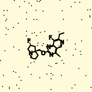 CCc1ncc2c(C)nc(OC[C@@]34CCCN3C[C@H](F)C4)nc2c1F